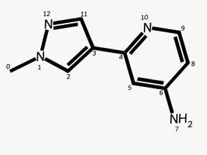 Cn1cc(-c2cc(N)ccn2)cn1